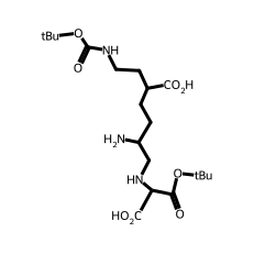 CC(C)(C)OC(=O)NCCC(CCC(N)CNC(C(=O)O)C(=O)OC(C)(C)C)C(=O)O